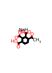 CC(=O)c1ccc(C(=O)O)c(C(=O)O)c1C(=O)O.[NaH]